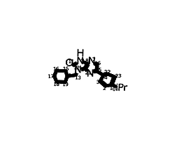 CC(C)c1ccc(-c2cnc3[nH]c(=O)n(CC4CCCCC4)c3n2)cc1